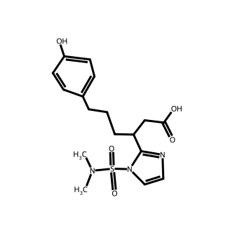 CN(C)S(=O)(=O)n1ccnc1C(CCCc1ccc(O)cc1)CC(=O)O